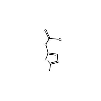 Cc1ccc(OC(=O)Cl)o1